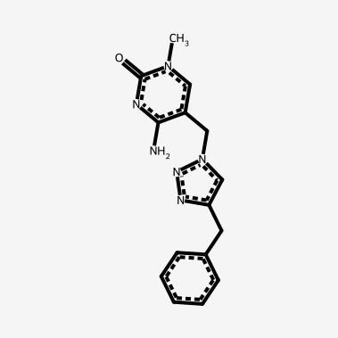 Cn1cc(Cn2cc(Cc3ccccc3)nn2)c(N)nc1=O